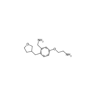 NCCOc1ccc(CC2CCOC2)c(CN)c1